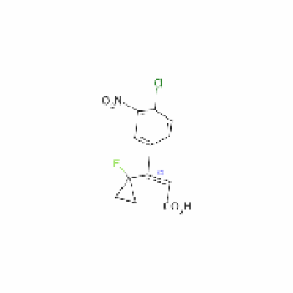 O=C(O)/C=C(/c1ccc(Cl)c([N+](=O)[O-])c1)C1(F)CC1